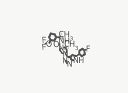 C[C@H](NC(=O)N1CCN(c2ncnc3[nH]c(-c4ccc(F)cc4)cc23)C[C@H]1C)c1cccc(OC(F)F)c1